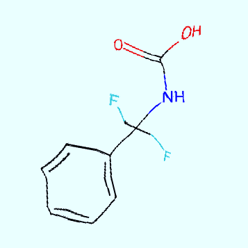 O=C(O)NC(F)(F)c1ccccc1